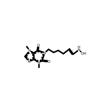 Cn1cnc2c1c(=O)n(CCCC/C=C/NO)c(=O)n2C